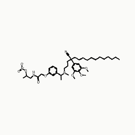 CCCCCCCCCCCCC(C#N)(CCCN(C)C(C)c1cccc(OCC(=O)NCC(C)O[N+](=O)[O-])c1)c1cc(OC)c(OC)c(OC)c1